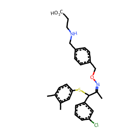 CC(=NOCc1ccc(CNCCC(=O)O)cc1)C(Sc1ccc(C)c(C)c1)c1cccc(Cl)c1